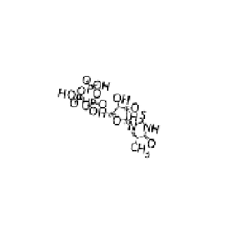 Cc1cn([C@@H]2O[C@H](CO[PH]3(O)OP(=O)(O)OP(=O)(O)O3)C(O)[C@@H]2O)c(=S)[nH]c1=O